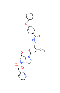 CC(CCNC(=O)c1ccc(Oc2ccccc2)cc1)CC(=O)N1CCC2C1C(=O)CN2S(=O)(=O)Cc1cccnc1